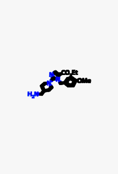 CCOC(=O)c1cnc(N2CCC(CN)CC2)n1Cc1ccc(OC)cc1